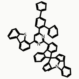 c1ccc(-c2ccc(-c3cc(-c4cccc5c4sc4ccccc45)nc(-c4cccc5c4-c4ccccc4C54c5ccccc5-n5c6ccccc6c6cccc4c65)n3)c(-c3ccccc3)c2)cc1